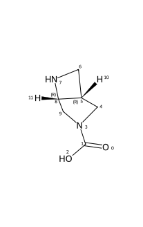 O=C(O)N1C[C@H]2CN[C@H]2C1